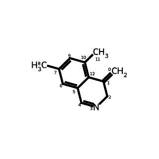 C=C1CN=Cc2cc(C)cc(C)c21